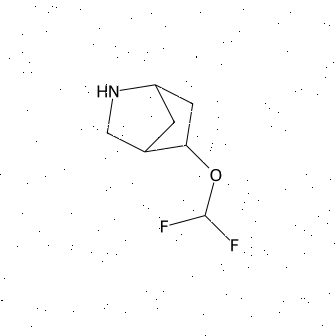 FC(F)OC1CC2CC1CN2